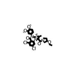 CCOC1CCN(C(=O)c2nc(N(C(=O)c3ccc(Cl)cc3Cl)c3ccc(OC)c(OC)c3)sc2C)C1